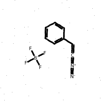 F[B-](F)(F)F.[N-]=[N+]=C=Cc1ccccc1